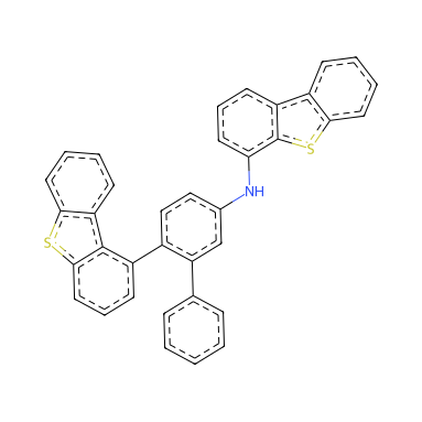 c1ccc(-c2cc(Nc3cccc4c3sc3ccccc34)ccc2-c2cccc3sc4ccccc4c23)cc1